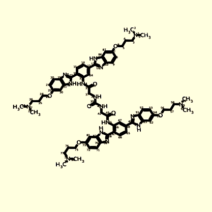 CN(C)CCCOc1ccc2nc(-c3ccc(-c4nc5ccc(OCCCN(C)C)cc5[nH]4)c(NC(=O)CNC(=O)NCC(=O)Nc4cc(-c5nc6ccc(OCCCN(C)C)cc6[nH]5)ccc4-c4nc5ccc(OCCCN(C)C)cc5[nH]4)c3)[nH]c2c1